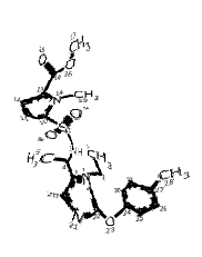 CCn1c(C(C)NS(=O)(=O)c2ccc(C(=O)OC)n2C)cnc1Oc1ccc(C)cc1